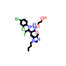 C=c1ncn(CCCC)/c1=C/C(C(=O)NOCCO)=C(\CF)Nc1ccc(Br)cc1Cl